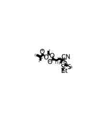 C=C(C)C(=O)OC(C)OC(=O)CCC(C)(C#N)SC(=S)SCC